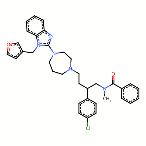 CN(CC(CCN1CCCN(c2nc3ccccc3n2Cc2ccoc2)CC1)c1ccc(Cl)cc1)C(=O)c1ccccc1